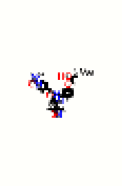 CNCC(O)COc1cccc(-c2nc(OCC3CCN(C(=O)N(C)C)CC3)c(C)c(-c3c(C)noc3C)n2)c1